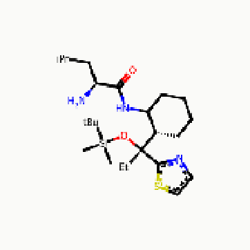 CC[C@](O[Si](C)(C)C(C)(C)C)(c1nccs1)[C@H]1CCCCC1NC(=O)[C@@H](N)CC(C)C